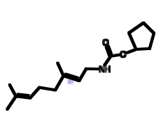 CC(C)=CCC/C(C)=C/CNC(=O)OC1CCCC1